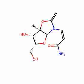 C=C1O[C@H]2C(O[C@H](CO)[C@@H]2O)N1/C=C\C(N)=O